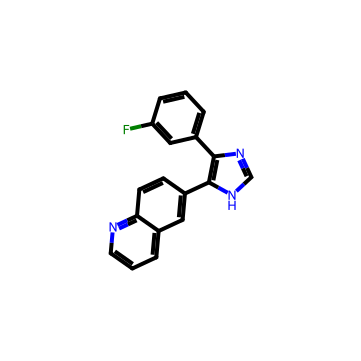 Fc1cccc(-c2nc[nH]c2-c2ccc3ncccc3c2)c1